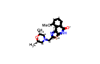 COc1cccc2c(=O)[nH]c3sc(CN4C[C@@H](C)O[C@@H](C)C4)nc3c12